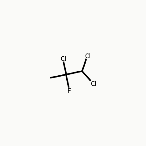 CC(F)(Cl)C(Cl)Cl